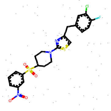 O=[N+]([O-])c1cccc(S(=O)(=O)C2CCN(c3nc(Cc4ccc(F)c(Cl)c4)cs3)CC2)c1